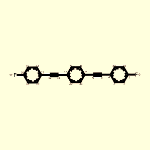 Fc1ccc(C#Cc2ccc(C#Cc3ccc(F)cc3)cc2)cc1